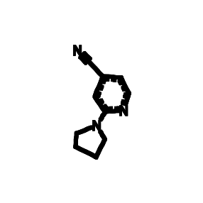 N#Cc1ccnc(N2CCCC2)c1